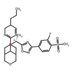 CCCC1C=NC(N2CC3COCC(C2)C3O[C@H](C)c2nc(-c3ccc(S(C)(=O)=O)c(F)c3)no2)=NC1